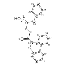 O=C(O)C(CCC(=O)N(Cc1ccccc1)c1ccccc1)Oc1ccccc1